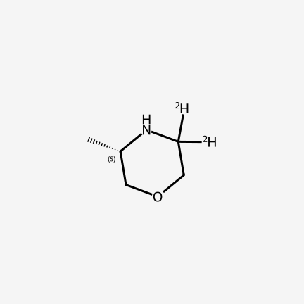 [2H]C1([2H])COC[C@H](C)N1